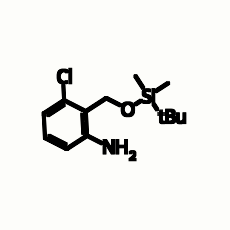 CC(C)(C)[Si](C)(C)OCc1c(N)cccc1Cl